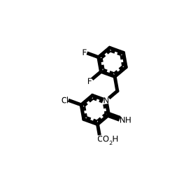 N=c1c(C(=O)O)cc(Cl)cn1Cc1cccc(F)c1F